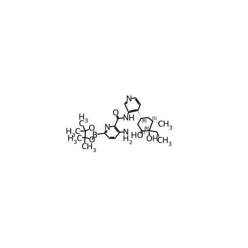 CC[C@]1(O)[C@H](O)C[C@H](c2ccncc2NC(=O)c2nc(B3OC(C)(C)C(C)(C)O3)ccc2N)C[C@@H]1C